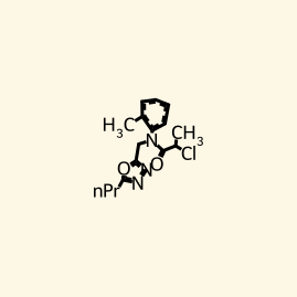 CCCc1nnc(CN(C(=O)C(C)Cl)c2ccccc2C)o1